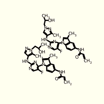 C=CC(=O)Nc1ccc2c(c1)c(C)cn2-c1nc(Nc2cn(CC(C)O)nc2C)ncc1F.C=CC(=O)Nc1ccc2c(c1)c(C)cn2-c1nc(Nc2cnn(CC(C)O)c2C)ncc1F